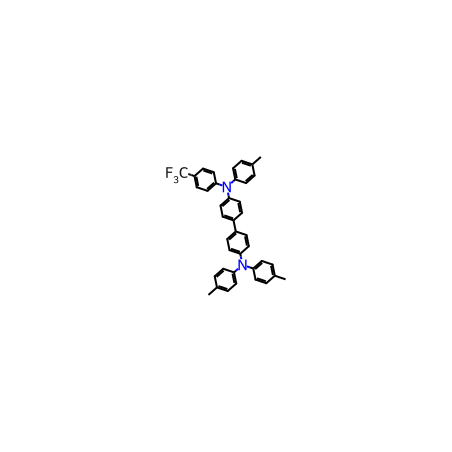 Cc1ccc(N(c2ccc(C)cc2)c2ccc(-c3ccc(N(c4ccc(C)cc4)c4ccc(C(F)(F)F)cc4)cc3)cc2)cc1